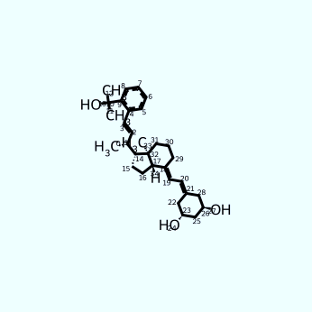 C[C@H](/C=C/c1ccccc1C(C)(C)O)[C@H]1CC[C@H]2/C(=C/C=C3C[C@@H](O)C[C@H](O)C3)CCC[C@]12C